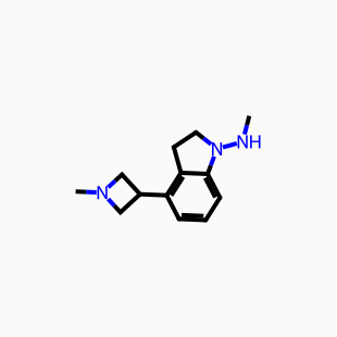 CNN1CCc2c(C3CN(C)C3)cccc21